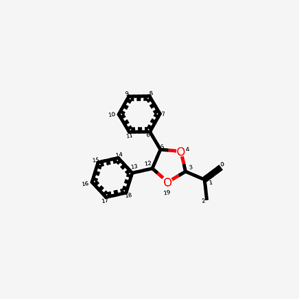 C=C(C)C1OC(c2ccccc2)C(c2ccccc2)O1